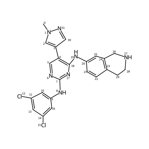 Cn1cc(-c2cnc(Nc3cc(Cl)cc(Cl)c3)nc2Nc2ccc3c(c2)CNCC3)cn1